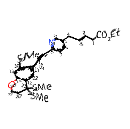 CCOC(=O)CCCCc1ccc(C#Cc2cc3c(cc2SC)OCCC3(SC)SC)nc1